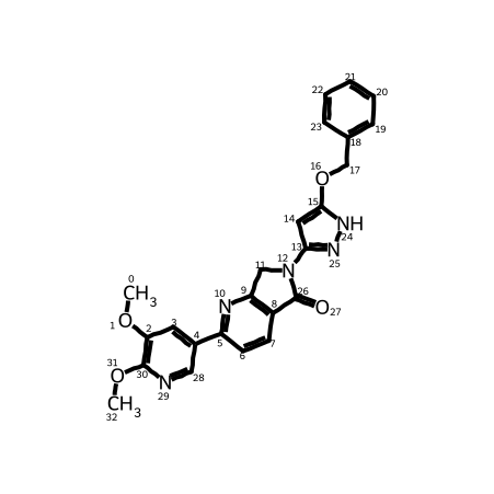 COc1cc(-c2ccc3c(n2)CN(c2cc(OCc4ccccc4)[nH]n2)C3=O)cnc1OC